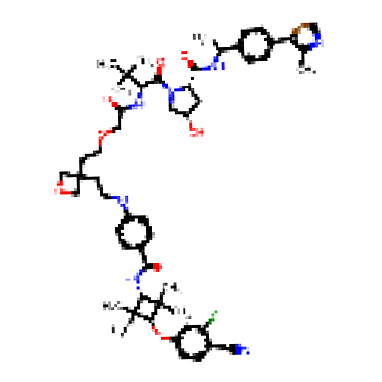 Cc1ncsc1-c1ccc(C(C)NC(=O)[C@@H]2C[C@@H](O)CN2C(=O)[C@@H](NC(=O)COCCC2(CCNc3ccc(C(=O)N[C@H]4C(C)(C)[C@H](Oc5ccc(C#N)c(Cl)c5)C4(C)C)cc3)COC2)C(C)(C)C)cc1